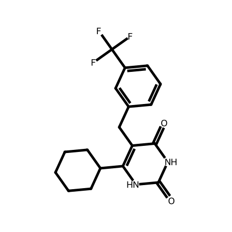 O=c1[nH]c(C2CCCCC2)c(Cc2cccc(C(F)(F)F)c2)c(=O)[nH]1